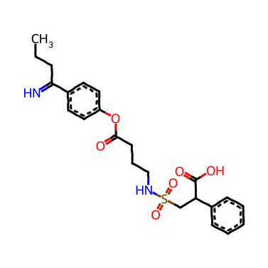 CCCC(=N)c1ccc(OC(=O)CCCNS(=O)(=O)CC(C(=O)O)c2ccccc2)cc1